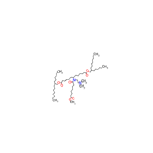 CCCCCCCCC(CCCCCC)COC(=O)CCCCCC(CCCCCC(=O)OCC(CCCCCC)CCCCCCCC)N(CCN(C)C)C(=O)CCCCCCC(=O)OC